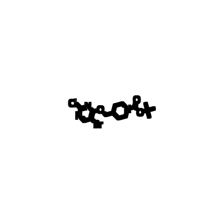 CC(C)(C)OC(=O)N1CCC(COc2nc(Cl)ncc2Br)CC1